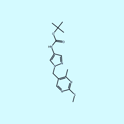 CSc1ncc(Cn2cc(NC(=O)OC(C)(C)C)cn2)c(C)n1